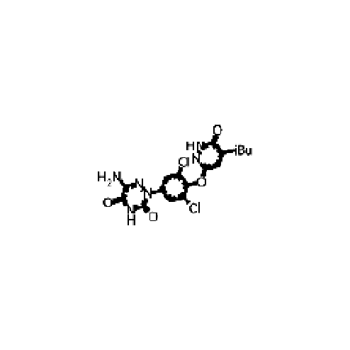 CCC(C)c1cc(Oc2c(Cl)cc(-n3nc(N)c(=O)[nH]c3=O)cc2Cl)n[nH]c1=O